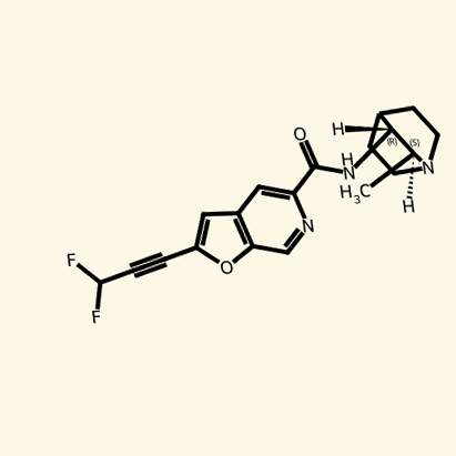 C[C@H]1[C@H](NC(=O)c2cc3cc(C#CC(F)F)oc3cn2)C2CCN1CC2